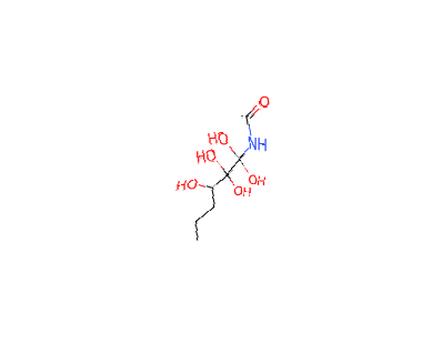 CCCC(O)C(O)(O)C(O)(O)N[C]=O